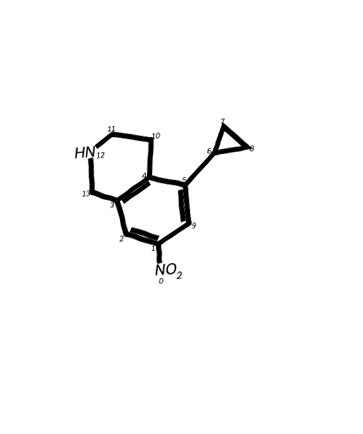 O=[N+]([O-])c1cc2c(c(C3CC3)c1)CCNC2